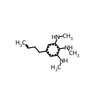 C=CCCc1cc(NC)c(NC)c(NC)c1